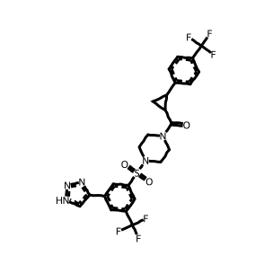 O=C(C1CC1c1ccc(C(F)(F)F)cc1)N1CCN(S(=O)(=O)c2cc(-c3c[nH]nn3)cc(C(F)(F)F)c2)CC1